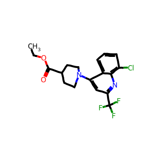 CCOC(=O)C1CCN(c2cc(C(F)(F)F)nc3c(Cl)cccc23)CC1